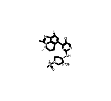 Cc1nc2c(F)cc(-c3nc(N[C@@H]4CCN(S(C)(=O)=O)C[C@H]4O)ncc3Cl)c3c2n1[C@@H](C)CC3